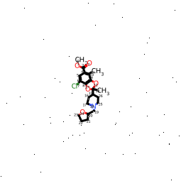 COC(=O)c1cc(Cl)c2c(c1C)OC(C)(C1CCN(CC3CCCO3)CC1)O2